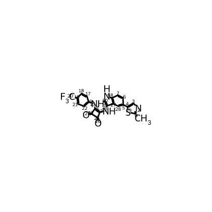 Cc1ncc(-c2ccc3[nH]cc(Nc4c(Nc5ccc(C(F)(F)F)cc5)c(=O)c4=O)c3c2)s1